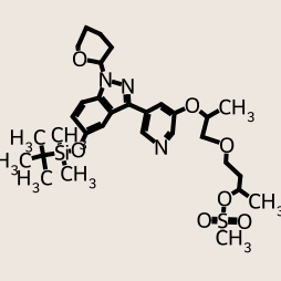 CC(COCCC(C)OS(C)(=O)=O)Oc1cncc(-c2nn(C3CCCCO3)c3ccc(O[Si](C)(C)C(C)(C)C)cc23)c1